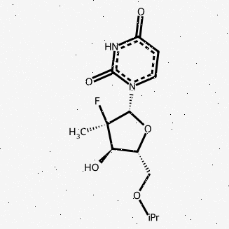 CC(C)OC[C@H]1O[C@@H](n2ccc(=O)[nH]c2=O)[C@](C)(F)[C@@H]1O